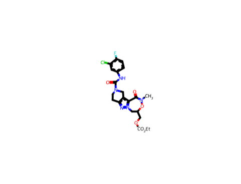 CCOC(=O)OCC1Cn2nc3c(c2C(=O)N(C)O1)CN(C(=O)Nc1ccc(F)c(Cl)c1)CC3